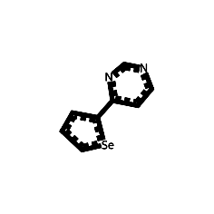 c1c[se]c(-c2ccncn2)c1